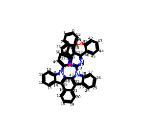 c1ccc(-c2ccc(-n3c4ccccc4c4c5ccccc5c5c6ccccc6n(-c6nc7c8c(cccc8n6)Oc6ccccc6-7)c5c43)cc2)cc1